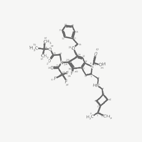 CC(C)C1CC(CNC[C@H]2Cc3c(cc(OCc4ccccc4)c(N(CC(=O)OC(C)(C)C)C(=O)C(F)(F)F)c3F)N2C(=O)O)C1